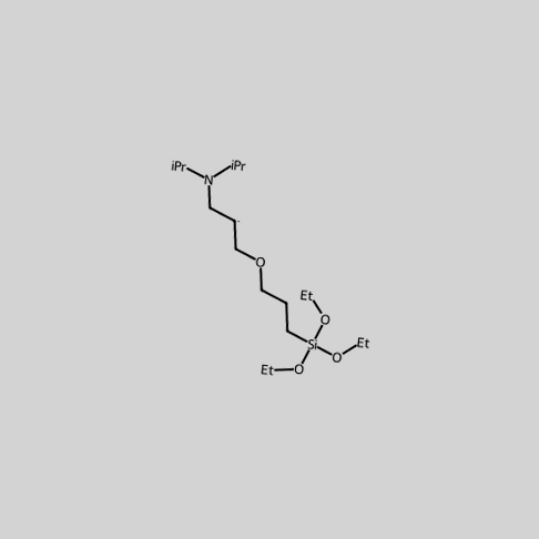 CCO[Si](CCCOC[CH]CN(C(C)C)C(C)C)(OCC)OCC